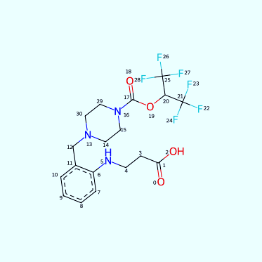 O=C(O)CCNc1ccccc1CN1CCN(C(=O)OC(C(F)(F)F)C(F)(F)F)CC1